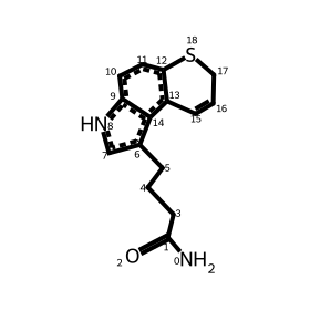 NC(=O)CCCc1c[nH]c2ccc3c(c12)C=CCS3